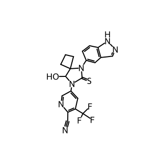 N#Cc1ncc(N2C(=S)N(c3ccc4[nH]ncc4c3)C3(CCC3)C2O)cc1C(F)(F)F